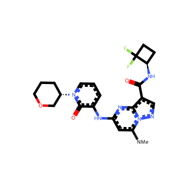 CNc1cc(Nc2cccn([C@H]3CCCOC3)c2=O)nc2c(C(=O)N[C@@H]3CCC3(F)F)cnn12